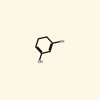 OC1=CCCC(S)=C1